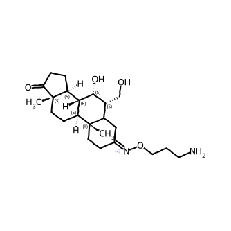 C[C@]12CC/C(=N/OCCCN)CC1[C@@H](CO)[C@@H](O)[C@@H]1[C@@H]2CC[C@]2(C)C(=O)CC[C@@H]12